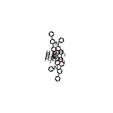 C[Si](C)(C)C1([Si](C)(C)C)c2c(ccc3cc(N(c4ccccc4)c4cc(-c5ccccc5)ccc4-c4ccccc4)ccc23)-c2ccc3cc(N(c4ccccc4)c4cc(-c5ccccc5)ccc4-c4ccccc4)ccc3c21